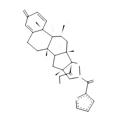 C[C@]12C=CC(=O)C=C1CC[C@@H]1[C@@H]2[C@@H](O)C[C@@]2(C)[C@H]1C[C@H]1CN(C(=O)c3cccs3)O[C@]12C(=O)CO